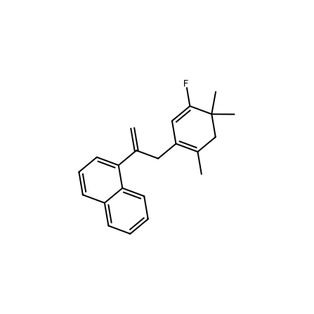 C=C(CC1=C(C)CC(C)(C)C(F)=C1)c1cccc2ccccc12